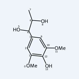 COc1cc(C(O)C(C)O)cc(OC)c1O